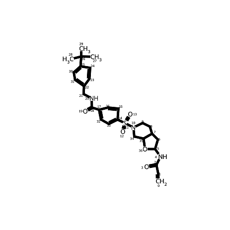 C=CC(=O)NC1CC2CCN(S(=O)(=O)c3ccc(C(=O)NCc4ccc(C(C)(C)C)cc4)cc3)CC2O1